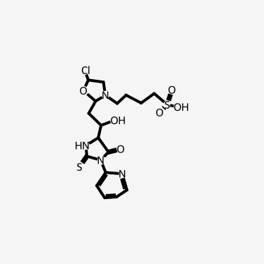 O=C1C(C(O)CC2OC(Cl)CN2CCCCS(=O)(=O)O)NC(=S)N1c1ccccn1